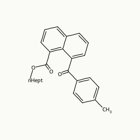 CCCCCCCOC(=O)c1cccc2cccc(C(=O)c3ccc(C)cc3)c12